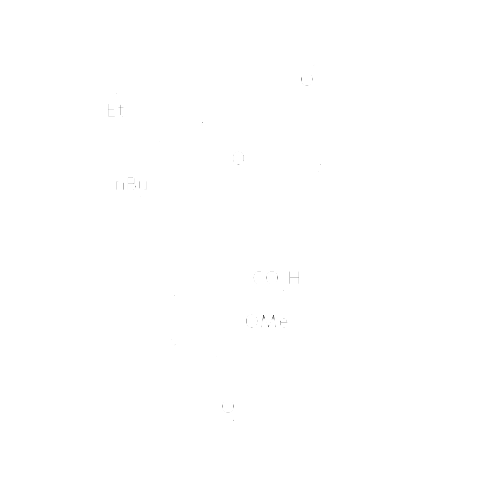 C=C(C)C(=O)OC.C=C(C=CC(=O)O)C(=O)OCC(CC)CCCC